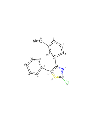 COc1cccc(-c2nc(Cl)sc2-c2ccccc2)c1